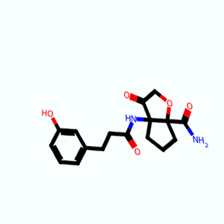 NC(=O)C12CCCC1(NC(=O)[CH]Cc1cccc(O)c1)C(=O)CO2